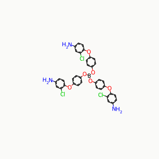 Nc1ccc(Oc2ccc(OB(Oc3ccc(Oc4ccc(N)cc4Cl)cc3)Oc3ccc(Oc4ccc(N)cc4Cl)cc3)cc2)c(Cl)c1